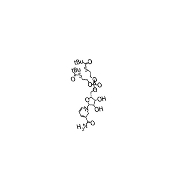 CC(C)(C)C(=O)SCCOP(=O)(OCCSC(=O)C(C)(C)C)OCC1OC(N2C=CC=C(C(N)=O)C2)C(O)C1O